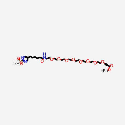 CC(C)(C)OC(=O)C#COCCOCCOCCOCCOCCOCCOCCOCCNC(=O)CCCCCc1cnc(S(C)(=O)=O)nc1